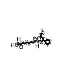 COCC1CC(c2ccccc2)OC(NC(=O)CCCCCCC(=O)NO)O1